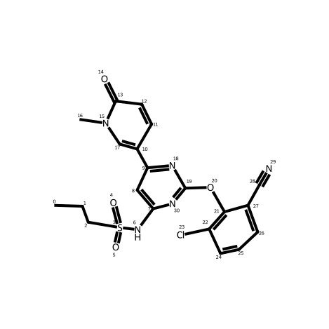 CCCS(=O)(=O)Nc1cc(-c2ccc(=O)n(C)c2)nc(Oc2c(Cl)cccc2C#N)n1